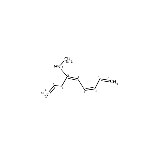 C=C/C=C\C=C(/CC=C)NC